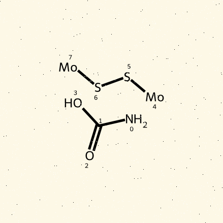 NC(=O)O.[Mo][S][S][Mo]